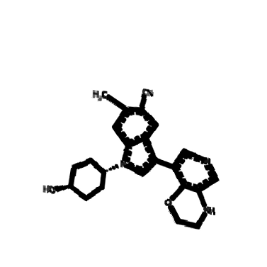 Cc1cc2c(cc1C#N)c(-c1cncc3c1OCCN3)cn2[C@H]1CC[C@H](O)CC1